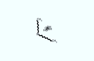 CCCCCCCCC[CH2][Ni][CH2]CCCCCCCCC.O=P(O)(O)O